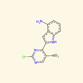 Nc1cccc2[nH]c(-c3nc(Cl)ncc3[N+](=O)[O-])cc12